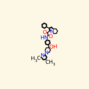 Cc1cc(C)nc(N2CCC(O)(c3ccc(NC(=O)C(=O)c4c(-c5ccccc5)cc5n4CCCC5)cc3)CC2)c1